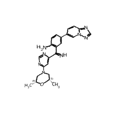 C[C@@H]1CN(c2cc(C(=N)c3cc(-c4ccc5ncnn5c4)ccc3N)ncn2)C[C@H](C)O1